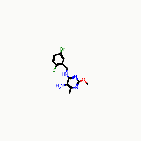 COc1nc(C)c(N)c(NCc2cc(Br)ccc2F)n1